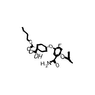 CCCCOC(=O)[C@]1(C(=O)O)CC[C@H](Oc2cc(C(N)=O)c(OC(C)C)cc2F)CC1